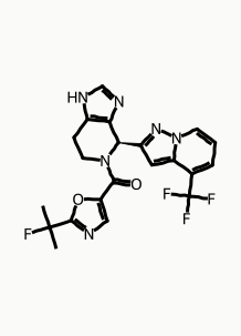 CC(C)(F)c1ncc(C(=O)N2CCc3[nH]cnc3[C@H]2c2cc3c(C(F)(F)F)cccn3n2)o1